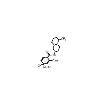 COC1=CC(Cl)(NC(C)=O)C=CC1C(=O)NC1CCN2C(C)CCCC2C1